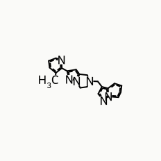 Cc1cccnc1-c1cc2n(n1)CCN(Cc1cnn3ccccc13)C2